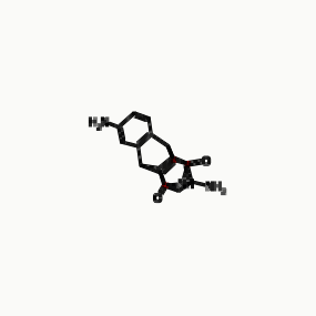 Nc1ccc2c(c1)C1C3=C(C(=O)NC3=O)C2c2cc(N)ccc21